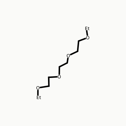 [CH2]COCCOCCOCCOC[CH2]